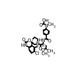 CO[C@H](C)C[C@@H](NC(=O)c1ccc(N(C)C(=O)O)cc1)C(=O)N1CCC[C@@]2(C1)OC(=O)Nc1ccc(Cl)c(F)c12